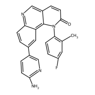 Cc1cc(F)ccc1-n1c(=O)ccc2cnc3ccc(-c4ccc(N)nc4)cc3c21